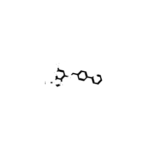 CCCNc1cc(NCc2ccc(-c3ccccn3)cc2)c2ncn(C(C)C)c2n1